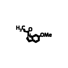 C=CC(=O)n1ccc2ccc(OC)cc21